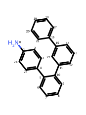 Nc1ccc(-c2ccccc2-c2cccc(-c3ccccc3)c2)cc1